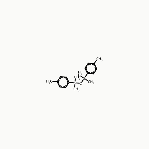 Cc1ccc([Si](C)(C)O[Si](C)(C)c2ccc(C)cc2)cc1